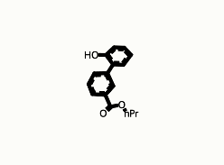 CCCOC(=O)c1cccc(-c2ccccc2O)c1